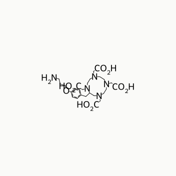 NCCCOc1ccc(CC2CN(CC(=O)O)CCN(CC(=O)O)CCN(CC(=O)O)CCN2CC(=O)O)cc1